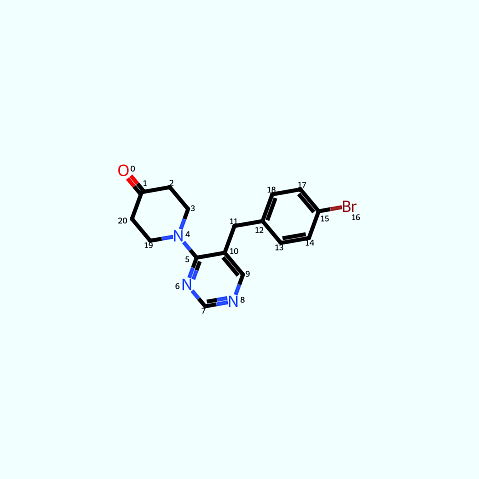 O=C1CCN(c2ncncc2Cc2ccc(Br)cc2)CC1